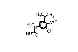 [C-]#[N+]c1c(C)cc(N(C)C(=O)O)cc1C(C)C